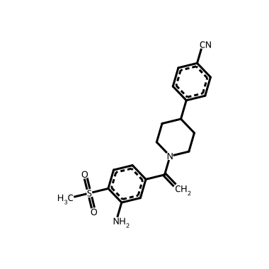 C=C(c1ccc(S(C)(=O)=O)c(N)c1)N1CCC(c2ccc(C#N)cc2)CC1